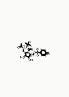 CC(=O)NC[C@@H]1[C@@H](O)C(O)[C@@H](COS(=O)(=O)c2ccc(C)cc2)N1C(=O)OC(C)(C)C